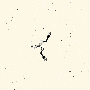 N#CCOP(N)OCC#N